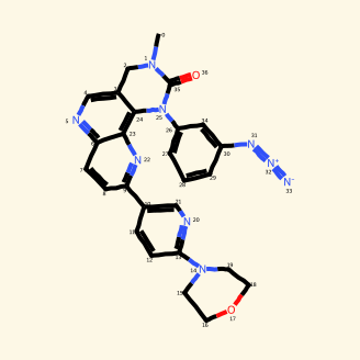 CN1Cc2cnc3ccc(-c4ccc(N5CCOCC5)nc4)nc3c2N(c2cccc(N=[N+]=[N-])c2)C1=O